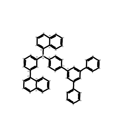 c1ccc(-c2cc(-c3ccccc3)cc(-c3ccc(N(c4cccc(-c5cccc6ccccc56)c4)c4cccc5ccccc45)cc3)c2)cc1